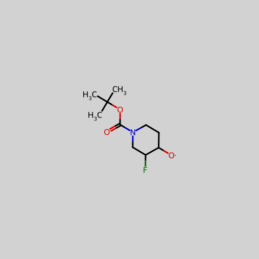 CC(C)(C)OC(=O)N1CCC([O])C(F)C1